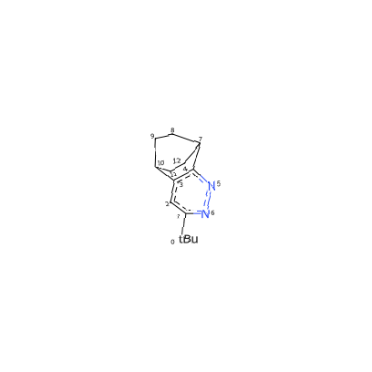 CC(C)(C)c1cc2c(nn1)C1CCC2CC1